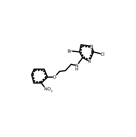 O=[N+]([O-])c1ccccc1OCCCNc1nc(Cl)ncc1Br